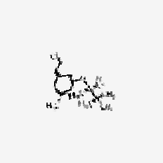 C[C@@H]1C/C(=C/CCl)C[C@@H](O[Si](C)(C)C(C)(C)C)C1